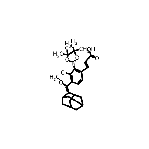 COC(=C1C2CC3CC(C2)CC1C3)c1ccc(/C=C/C(=O)O)c(B2OC(C)(C)C(C)(C)O2)c1Cl